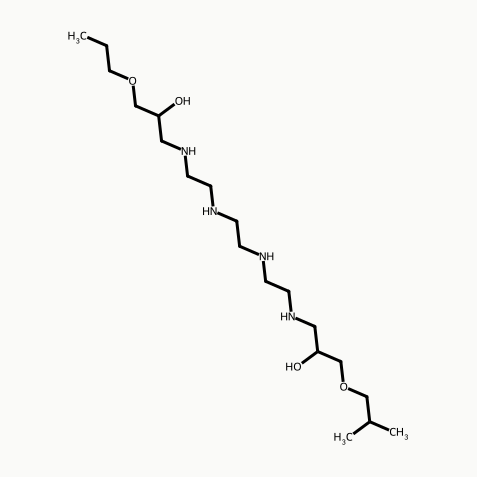 CCCOCC(O)CNCCNCCNCCNCC(O)COCC(C)C